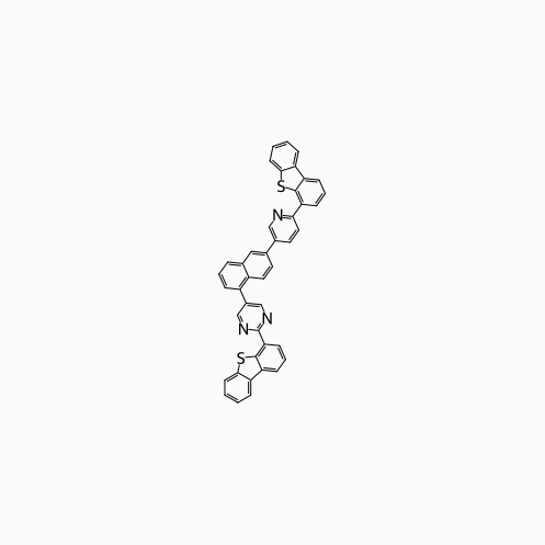 c1cc(-c2cnc(-c3cccc4c3sc3ccccc34)nc2)c2ccc(-c3ccc(-c4cccc5c4sc4ccccc45)nc3)cc2c1